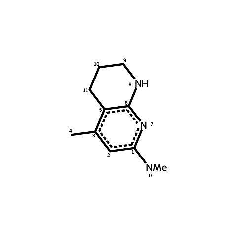 CNc1cc(C)c2c(n1)NCCC2